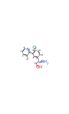 Cc1cccnc1-c1cc([C@H](N)CO)ccc1Cl